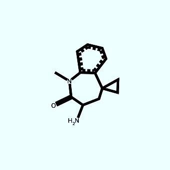 CN1C(=O)C(N)CC2(CC2)c2ccccc21